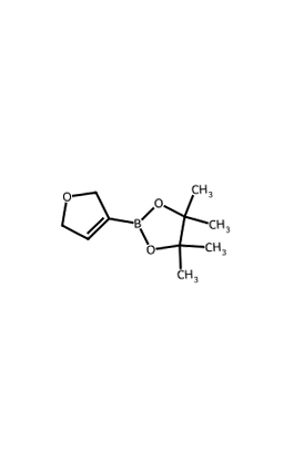 CC1(C)OB(C2=CCOC2)OC1(C)C